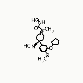 COc1ccc(C2(C#N)CCN([C@@H](C)C(=O)NO)CC2)cc1OC1CCCC1.Cl